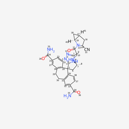 Cc1nnc(C2(C[C@@H](C)NCC(=O)N3[C@H](C#N)C[C@@H]4C[C@@H]43)c3ccc(C(N)=O)cc3CCc3cc(C(N)=O)ccc32)[nH]1